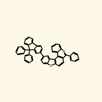 c1ccc(-c2nc3ccccc3c3c2ccc2oc4ccc(-c5ccc6c(c5)C(c5ccccc5)(c5ccccc5)c5ccccc5-6)cc4c23)cc1